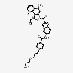 Cc1cccc2c(O)cc3c(c12)[C@H](CCl)CN3C(=O)c1cn2cc(NC(=O)c3ccc(OCCOCCO)cc3)ccc2n1